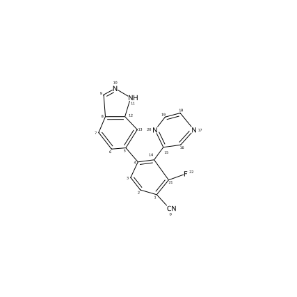 N#Cc1ccc(-c2ccc3cn[nH]c3c2)c(-c2cnccn2)c1F